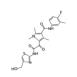 Cc1cc(NC(=O)c2c(C)c(C(=O)C(=O)Nc3nc(CO)cs3)n(C)c2C)ccc1F